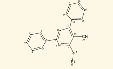 CCSc1nc(-c2ccccc2)cc(-c2ccccc2)c1C#N